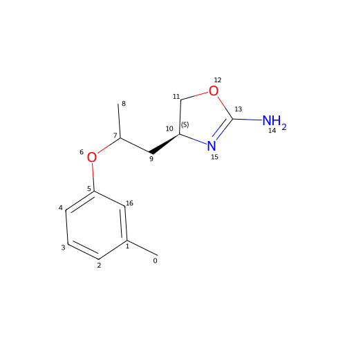 Cc1cccc(OC(C)C[C@H]2COC(N)=N2)c1